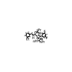 CCCC(CCC)S(=O)(=O)C(c1cc(F)cc(F)c1)[C@H]([CH]CNCc1cccc(CC)c1)NC(=O)C(C)C